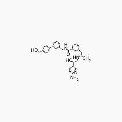 C[C@H](Cc1cccc(C(=O)NCc2cccc(-c3ccc(CO)cc3)c2)c1)NC[C@H](O)c1ccc(N)nc1